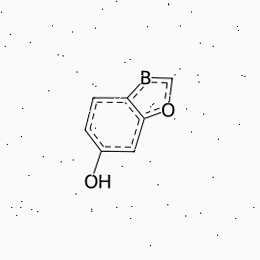 Oc1ccc2bcoc2c1